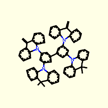 C=C1c2ccccc2N(c2cc(-c3cc(N4c5ccccc5C(=C)c5ccccc54)cc(N4c5ccccc5C(C)(C)c5ccccc54)c3)cc(N3c4ccccc4C(C)(C)c4ccccc43)c2)c2ccccc21